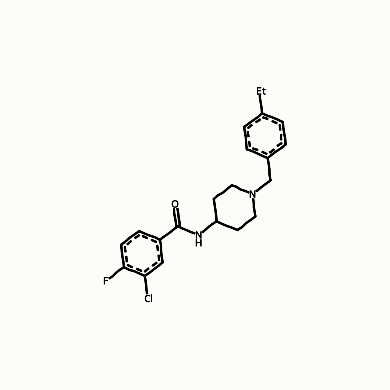 CCc1ccc(CN2CCC(NC(=O)c3ccc(F)c(Cl)c3)CC2)cc1